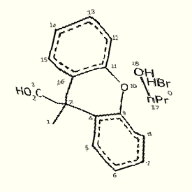 Br.CC1(C(=O)O)c2ccccc2Oc2ccccc21.CCCO